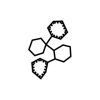 c1ccc(C2CCCC[C]2C2(c3ccccc3)CCCCC2)cc1